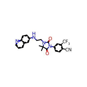 CC1(C)C(=O)N(c2ccc(C#N)c(C(F)(F)F)c2)C(=O)N1CCNc1ccc2ncccc2c1